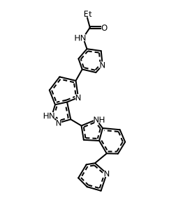 CCC(=O)Nc1cncc(-c2ccc3[nH]nc(-c4cc5c(-c6ccccn6)cccc5[nH]4)c3n2)c1